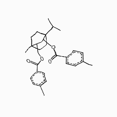 Cc1ccc(C(=O)OC2C(OC(=O)c3ccc(C)cc3)C3(C(C)C)CCC2(C)CC3)cc1